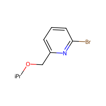 CC(C)OCc1cccc(Br)n1